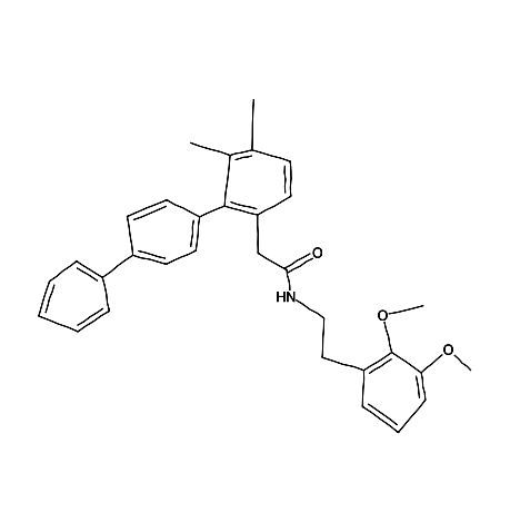 COc1cccc(CCNC(=O)Cc2ccc(C)c(C)c2-c2ccc(-c3ccccc3)cc2)c1OC